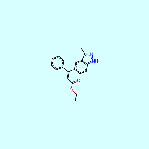 CCOC(=O)/C=C(/c1ccccc1)c1ccc2[nH]nc(C)c2c1